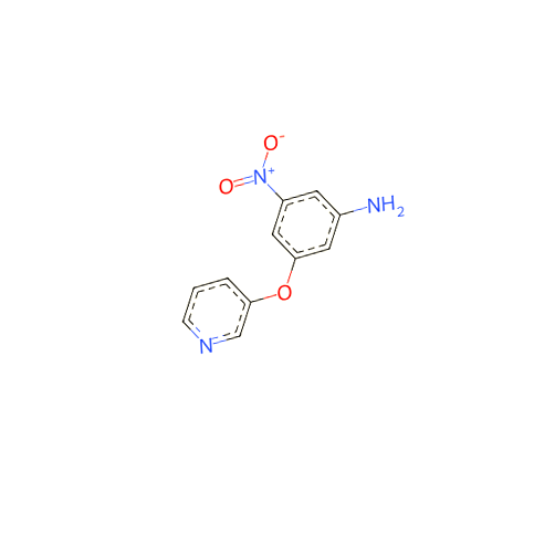 Nc1cc(Oc2cccnc2)cc([N+](=O)[O-])c1